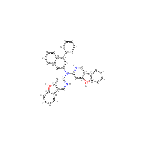 c1ccc(-c2cc(N(c3cc4oc5ccccc5c4cn3)c3cc4oc5ccccc5c4cn3)cc3ccccc23)cc1